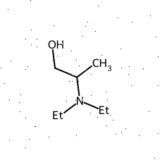 CCN(CC)C(C)CO